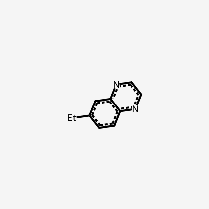 [CH2]Cc1ccc2nccnc2c1